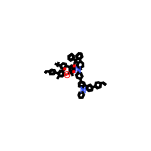 C=Cc1ccc(-c2cc(C)c(OCC(C)CCCCC3(c4ccccc4)C4=CC(C)(N(C5=CCC(c6ccc7c(c6)c6cc(C8=CCC(C=C)CC8)ccc6n7C6C=CCCC6)C=C5)C5C=CC(C6=CC=C(C(C)(C)C)CC6)=CC5)CCC4c4ccccc43)cc2C)cc1